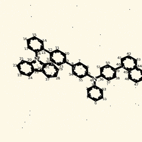 c1ccc(N(c2ccc(-c3ccc(-c4ccccc4-n4c5ccccc5c5ccccc54)cc3)cc2)c2ccc(-c3cccc4ccccc34)cc2)cc1